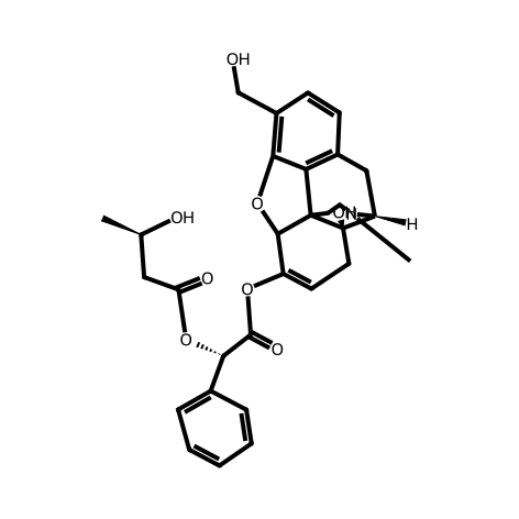 C[C@@H](O)CC(=O)O[C@H](C(=O)OC1=CC[C@@]2(O)[C@H]3Cc4ccc(CO)c5c4C2(CCN3C)C1O5)c1ccccc1